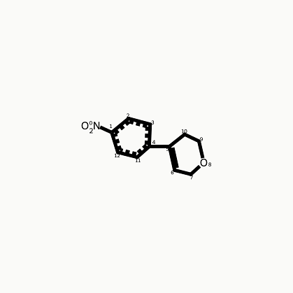 O=[N+]([O-])c1ccc(C2=CCOCC2)cc1